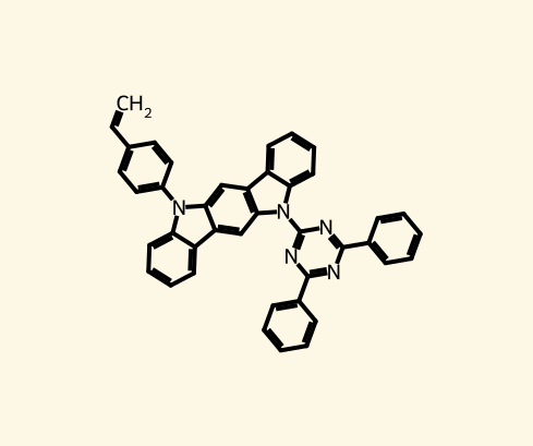 C=Cc1ccc(-n2c3ccccc3c3cc4c(cc32)c2ccccc2n4-c2nc(-c3ccccc3)nc(-c3ccccc3)n2)cc1